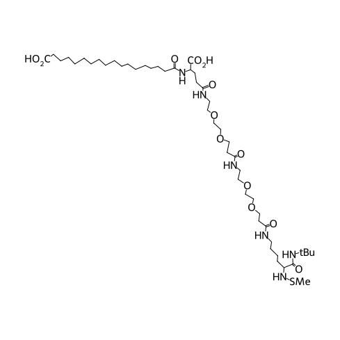 CSNC(CCCCNC(=O)CCOCCOCCNC(=O)CCOCCOCCNC(=O)CCC(NC(=O)CCCCCCCCCCCCCCCCC(=O)O)C(=O)O)C(=O)NC(C)(C)C